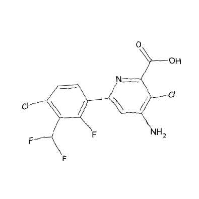 Nc1cc(-c2ccc(Cl)c(C(F)F)c2F)nc(C(=O)O)c1Cl